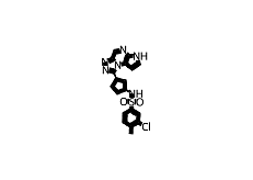 Cc1ccc(S(=O)(=O)N[C@H]2CC[C@@H](c3nnc4cnc5[nH]ccc5n34)C2)cc1Cl